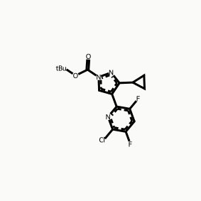 CC(C)(C)OC(=O)n1cc(-c2nc(Cl)c(F)cc2F)c(C2CC2)n1